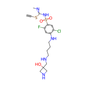 C#CS/C(=N\C)NS(=O)(=O)c1cc(Cl)c(NCCCCNCC2(O)CNC2)cc1F